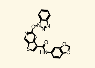 O=C(Nc1ccc2c(c1)OCO2)c1csc2cnc(On3nnc4ccccc43)nc12